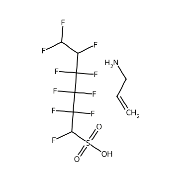 C=CCN.O=S(=O)(O)C(F)C(F)(F)C(F)(F)C(F)(F)C(F)C(F)F